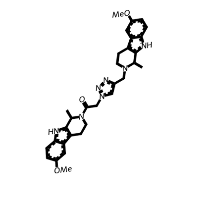 COc1ccc2[nH]c3c(c2c1)CCN(Cc1cn(CC(=O)N2CCc4c([nH]c5ccc(OC)cc45)C2C)nn1)C3C